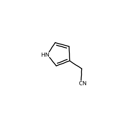 N#CCc1cc[nH]c1